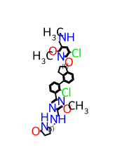 CNCc1cc(Cl)c(O[C@H]2CCc3c(-c4cccc(-c5cnc(CNC[C@@H]6CCC(=O)N6)c(OC)n5)c4Cl)cccc32)nc1OC